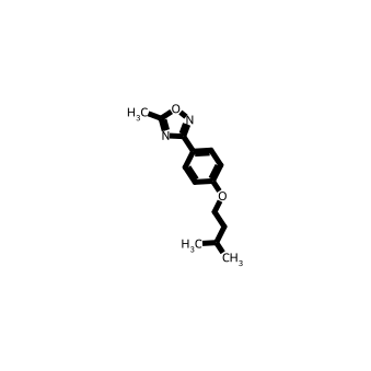 Cc1nc(-c2ccc(OCCC(C)C)cc2)no1